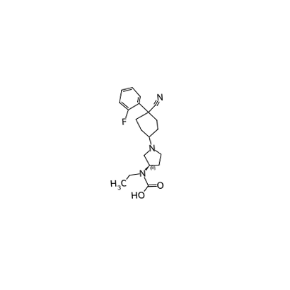 CCN(C(=O)O)[C@@H]1CCN(C2CCC(C#N)(c3ccccc3F)CC2)C1